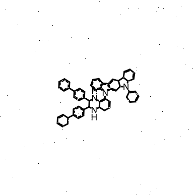 C1=CCCC(N2C3C=CC=CC3C3C=c4c(n(C5=C6NC(c7ccc(-c8ccccc8)cc7)C(c7ccc(C8C=CC=CC8)cc7)NC6CC=C5)c5ccccc45)=CC32)=C1